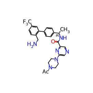 CC(=O)N1CCN(c2cncc(C(=O)N[C@H](C)c3ccc(-c4cc(C(F)(F)F)ccc4CN)cc3)n2)CC1